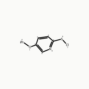 CC(C)Oc1ccc(SCl)nc1